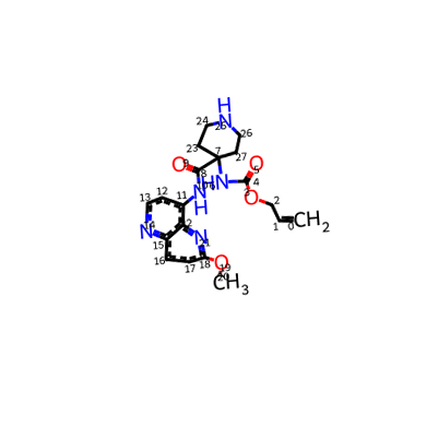 C=CCOC(=O)NC1(C(=O)Nc2ccnc3ccc(OC)nc23)CCNCC1